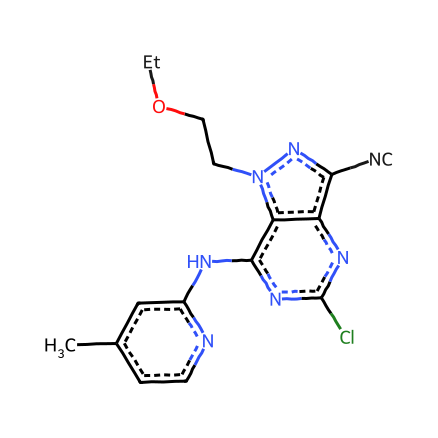 [C-]#[N+]c1nn(CCOCC)c2c(Nc3cc(C)ccn3)nc(Cl)nc12